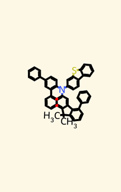 CC1(C)c2ccc(N(c3ccc4c(c3)sc3ccccc34)c3ccc(-c4ccccc4)cc3-c3ccccc3)cc2-c2c(-c3ccccc3)cccc21